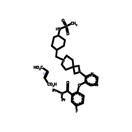 CC(C)N(C(=O)c1cc(F)ccc1Oc1cncnc1N1CC2(CCN(CC3CCC(NS(C)(=O)=O)CC3)CC2)C1)C(C)C.O=C(O)/C=C/C(=O)O